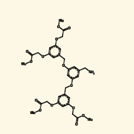 CC(C)(C)OC(=O)COc1cc(COc2cc(CN)cc(OCc3cc(OCC(=O)OC(C)(C)C)cc(OCC(=O)OC(C)(C)C)c3)c2)cc(OCC(=O)OC(C)(C)C)c1